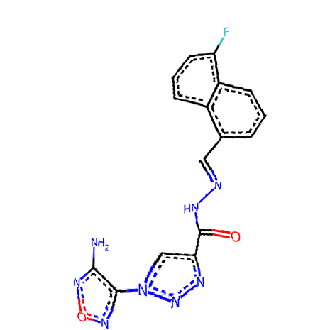 Nc1nonc1-n1cc(C(=O)N/N=C/c2cccc3c(F)cccc23)nn1